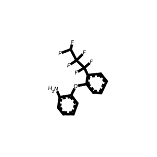 Nc1ccccc1Oc1ccccc1C(F)(F)C(F)(F)C(F)F